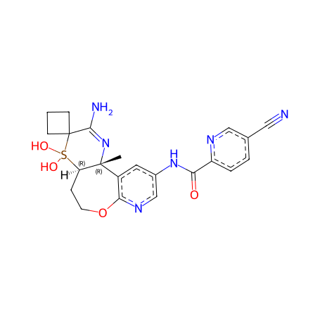 C[C@]12N=C(N)C3(CCC3)S(O)(O)[C@@H]1CCOc1ncc(NC(=O)c3ccc(C#N)cn3)cc12